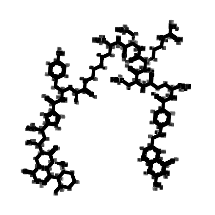 CCCC(=O)OCN(C(=O)[C@@H](NC(=O)[C@H]1CCCCN1C)C(C)CC)[C@H](C[C@@H](OC(C)=O)c1nc(C(=O)N[C@@H](Cc2ccc(O)cc2)C[C@H](C)C(=O)OCCSSC[C@H](NC(=O)[C@H](CC(=O)O)NC(=O)[C@H](CCCNC(=N)N)NC(=O)[C@H](CC(=O)O)NC(=O)CC[C@H](NC(=O)c2ccc(NCc3cnc4nc(N)[nH]c(=O)c4n3)cc2)C(=O)O)C(=O)O)cs1)C(C)C